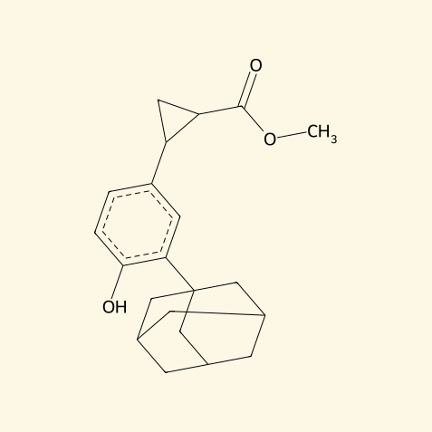 COC(=O)C1CC1c1ccc(O)c(C23CC4CC(CC(C4)C2)C3)c1